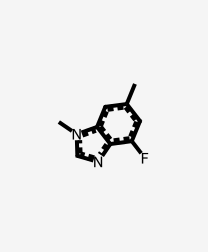 Cc1cc(F)c2ncn(C)c2c1